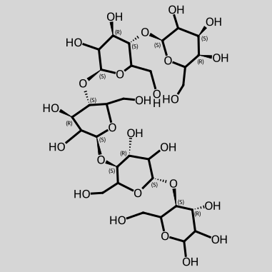 OCC1OC(O)C(O)[C@@H](O)[C@@H]1O[C@@H]1OC(CO)[C@@H](O[C@@H]2OC(CO)[C@@H](O[C@@H]3OC(CO)[C@@H](O[C@@H]4OC(CO)[C@H](O)[C@H](O)C4O)[C@H](O)C3O)[C@H](O)C2O)[C@H](O)C1O